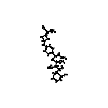 C=C(S/C(=N\N)c1ccc(CN2CC(C(N)=O)C2)cc1)N(CCCC)C(=O)c1ccccc1F